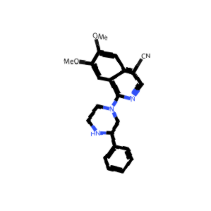 COc1cc2c(C#N)cnc(N3CCNC(c4ccccc4)C3)c2cc1OC